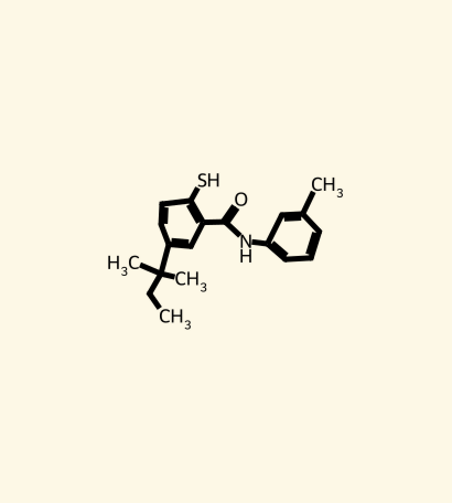 CCC(C)(C)c1ccc(S)c(C(=O)Nc2cccc(C)c2)c1